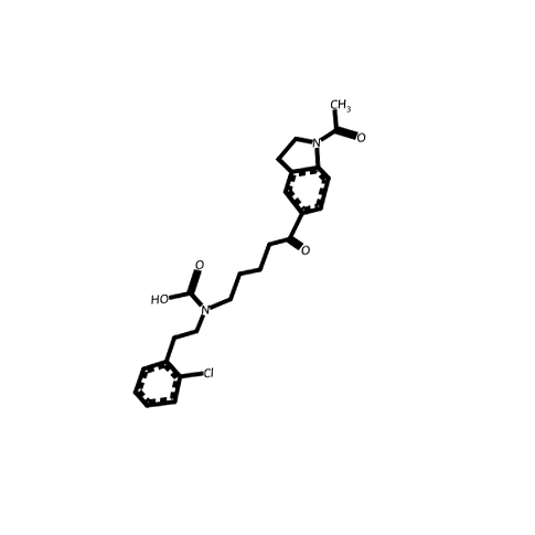 CC(=O)N1CCc2cc(C(=O)CCCCN(CCc3ccccc3Cl)C(=O)O)ccc21